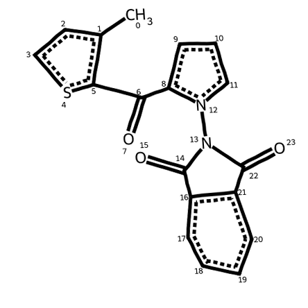 Cc1ccsc1C(=O)c1cccn1N1C(=O)c2ccccc2C1=O